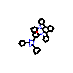 c1ccc(-c2nc(-c3ccccc3)nc(-c3cccc(-n4c5ccccc5c5c6ccccc6c6c7ccccc7n(-c7ccccc7)c6c54)c3)n2)cc1